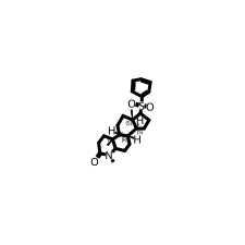 CN1C(=O)CC[C@@]2(C)C1CC[C@@H]1[C@H]2CC[C@]2(C)C(S(=O)(=O)c3ccccc3)CC[C@@H]12